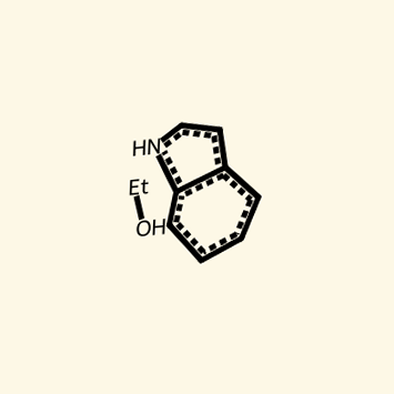 CCO.c1ccc2[nH]ccc2c1